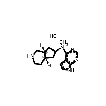 CN(c1ncnc2[nH]ccc12)C1C[C@H]2CNCC[C@H]2C1.Cl